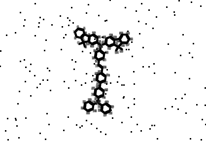 CC1(C)C2=C(C=CCC2)c2ccc(N(c3ccc(/C=C/c4ccc(-c5ccc(N(c6ccccc6)c6ccccc6)cc5)cc4)cc3)c3ccc4c(c3)C(C)(C)c3ccccc3-4)cc21